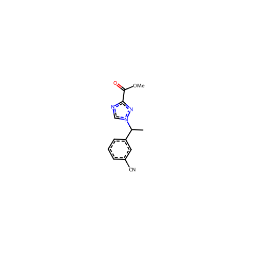 COC(=O)c1ncn(C(C)c2cccc(C#N)c2)n1